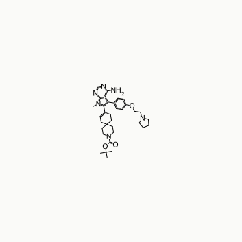 Cn1c(C2=CCC3(CC2)CCN(C(=O)OC(C)(C)C)CC3)c(-c2ccc(OCCN3CCCC3)cc2)c2c(N)ncnc21